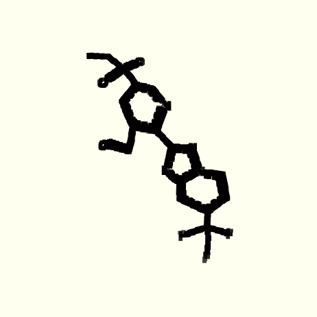 CCS(=O)(=O)c1cnc(-c2nc3cc(C(F)(F)F)ccn3n2)c(C=O)c1